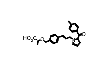 Cc1ccc(C(=O)C2CC=CN2C/C=C/c2ccc(CO[C@H](C)C(=O)O)cc2)cc1